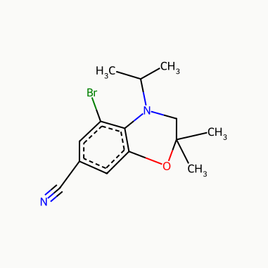 CC(C)N1CC(C)(C)Oc2cc(C#N)cc(Br)c21